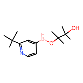 CC(C)(C)c1cc(BOC(C)(C)C(C)(C)O)ccn1